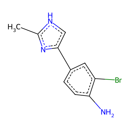 Cc1nc(-c2ccc(N)c(Br)c2)c[nH]1